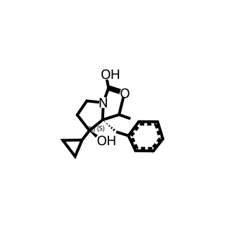 CC(C)[C@]1(Cc2ccccc2)N(C(=O)O)CC[C@@]1(O)C1CC1